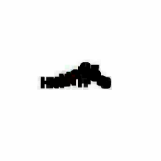 COc1ccc(COc2c(F)cc(C(=O)NC[C@H]3CC[C@H](n4cc5nc(N6CCNCC6)ccc5n4)CC3)c(F)c2F)cc1